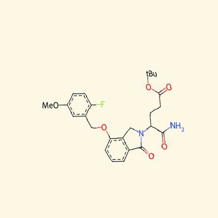 COc1ccc(F)c(COc2cccc3c2CN(C(CCC(=O)OC(C)(C)C)C(N)=O)C3=O)c1